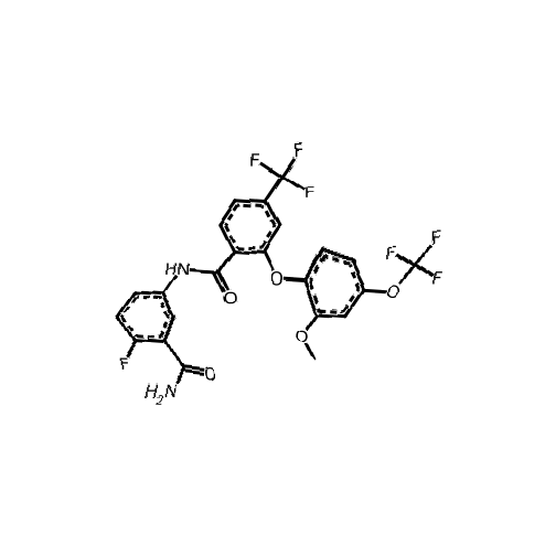 COc1cc(OC(F)(F)F)ccc1Oc1cc(C(F)(F)F)ccc1C(=O)Nc1ccc(F)c(C(N)=O)c1